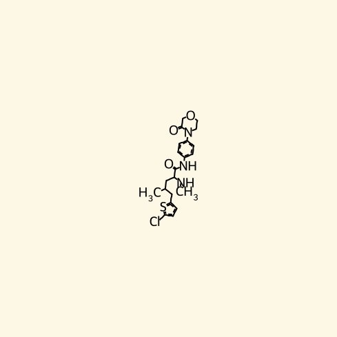 CNC(CC(C)Cc1ccc(Cl)s1)C(=O)Nc1ccc(N2CCOCC2=O)cc1